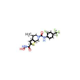 CC1CN(C(=O)Nc2ccc(C(F)(F)F)cc2F)Cc2sc(C(=O)NO)cc21